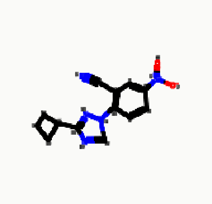 N#Cc1cc([N+](=O)[O-])ccc1-n1cnc(C2CCC2)n1